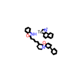 C(=CC=C1CCC[n+]2c1oc1ccc(-c3ccccc3)cc12)C=C1Nc2ccccc2O1.CN1C[Te]c2ccc3ccccc3c21